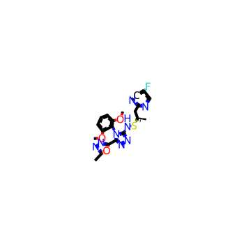 COc1cccc(OC)c1-n1c(NS[C@H](C)Cc2ncc(F)cn2)nnc1-c1nnc(C)o1